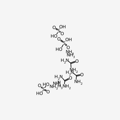 N.N.N.N.N.NC(N)=O.NC(N)=O.NC(N)=O.O=S(=O)(O)O.O=S(=O)(O)O.O=S(=O)(O)O